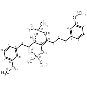 COc1cccc(CCCC(O[Si](C)(C)C)=C(CCCc2cccc(OC)c2)O[Si](C)(C)C)c1